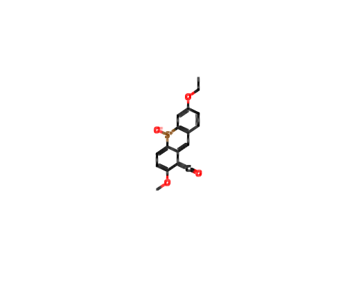 CCOc1ccc2c(c1)[S+]([O-])c1ccc(OC)c(=C=O)c1=C2